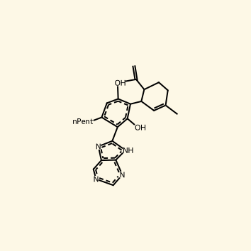 C=C(C)C1CCC(C)=CC1c1c(O)cc(CCCCC)c(-c2nc3cncnc3[nH]2)c1O